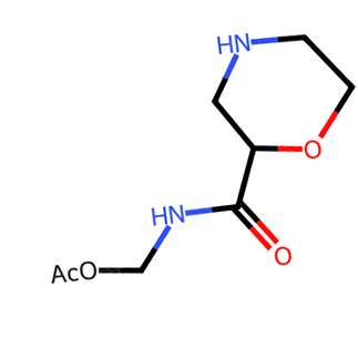 CC(=O)OCNC(=O)C1CNCCO1